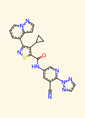 N#Cc1cc(NC(=O)c2snc(-c3cccn4nccc34)c2C2CC2)cnc1-n1nccn1